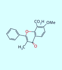 COc1ccc2c(=O)c(C)c(-c3ccccc3)oc2c1C(=O)O